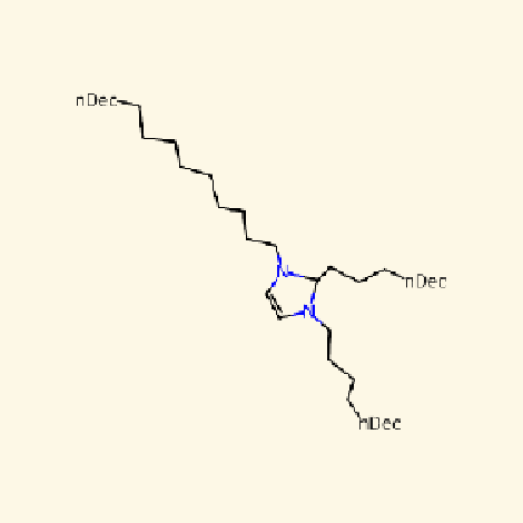 CCCCCCCCCCCCCCCCCCCN1C=CN(CCCCCCCCCCCCCC)C1CCCCCCCCCCCCC